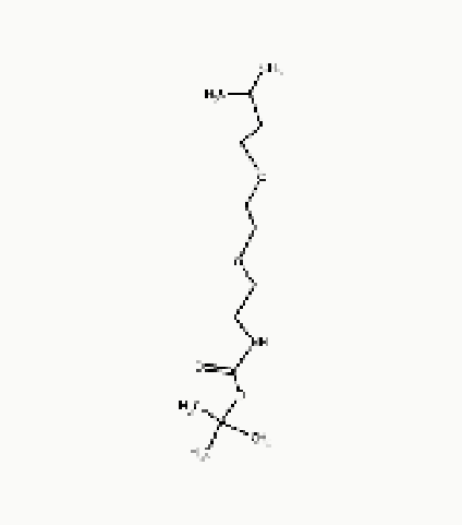 CC(C)CCOCCOCCNC(=O)OC(C)(C)C